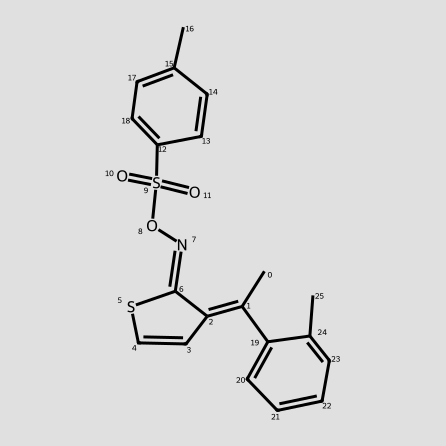 C/C(=C1/C=CS/C1=N\OS(=O)(=O)c1ccc(C)cc1)c1ccccc1C